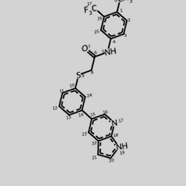 Cc1ccc(NC(=O)CSc2cccc(-c3cnc4[nH]ccc4c3)c2)cc1C(F)(F)F